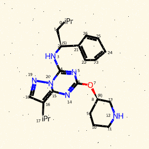 CC(C)C[C@H](Nc1nc(O[C@@H]2CCCNC2)nc2c(C(C)C)cnn12)c1ccccc1